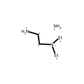 CCN(CC)CCN.[SiH4]